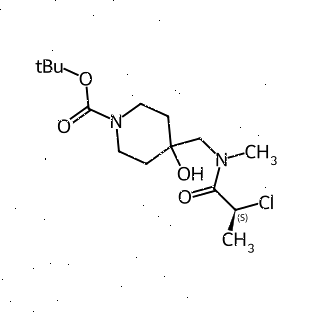 C[C@H](Cl)C(=O)N(C)CC1(O)CCN(C(=O)OC(C)(C)C)CC1